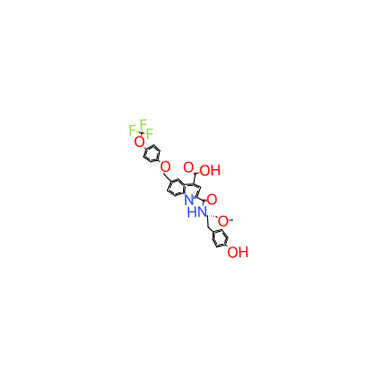 COC[C@H](Cc1ccc(O)cc1)NC(=O)c1cc(C(=O)O)c2cc(COc3ccc(OC(F)(F)F)cc3)ccc2n1